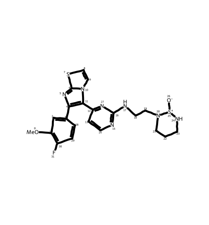 COc1cc(-c2nc3sccn3c2-c2ccnc(NCCN3CCCN[S+]3[O-])n2)ccc1F